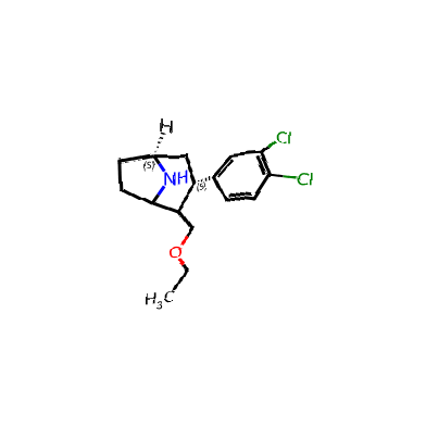 CCOCC1C2CC[C@@H](C[C@@H]1c1ccc(Cl)c(Cl)c1)N2